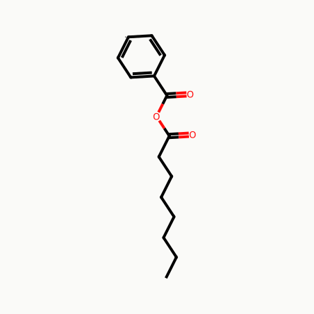 CCCCCCCC(=O)OC(=O)c1cc[c]cc1